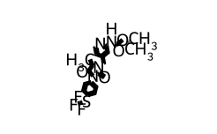 CC(C)OC(=O)Nc1cc(CN2C(=O)N(c3ccc(SC(F)(F)F)cc3)C(=O)C2C)ccn1